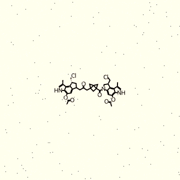 CC(=O)Oc1cc2c(c3c(C)c[nH]c13)C(CCl)CN2C(=O)C12CC3(CC(=O)CC4C[C@@H](CCl)c5c4cc(OC(C)=O)c4[nH]cc(C)c54)CC31C2